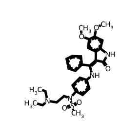 CCN(CC)CCN(c1ccc(N/C(=C2\C(=O)Nc3cc(OC)c(OC)cc32)c2ccccc2)cc1)S(C)(=O)=O